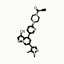 C#CC(=O)N1CCN(c2ccc(-c3cc(-c4cnn(C)c4C)cn4ncc(C#N)c34)cn2)CC1